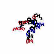 COc1cc2[nH]nc(-c3ccc(N4CCN5C[C@H](O)C[C@H]5C4)nc3)c2nc1-c1cccc(C)c1C.O=C(O)/C=C/C(=O)O